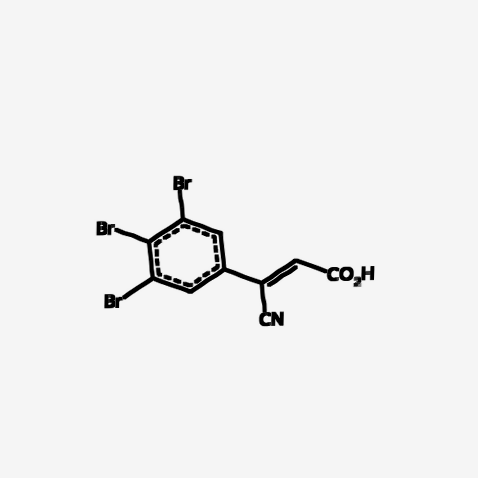 N#CC(=CC(=O)O)c1cc(Br)c(Br)c(Br)c1